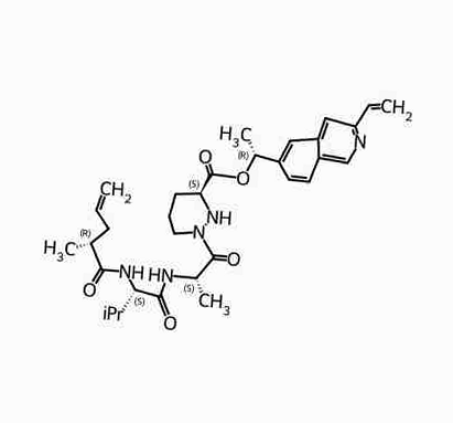 C=CC[C@@H](C)C(=O)N[C@H](C(=O)N[C@@H](C)C(=O)N1CCC[C@@H](C(=O)O[C@H](C)c2ccc3cnc(C=C)cc3c2)N1)C(C)C